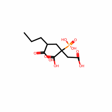 CCCC(CC(CC(=O)O)(C(=O)O)P(=O)(O)O)C(=O)O